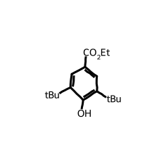 [CH2]COC(=O)c1cc(C(C)(C)C)c(O)c(C(C)(C)C)c1